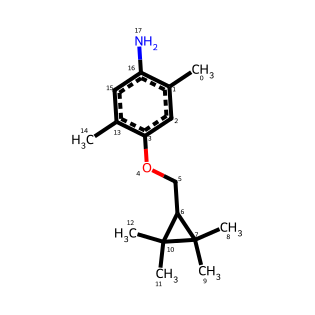 Cc1cc(OCC2C(C)(C)C2(C)C)c(C)cc1N